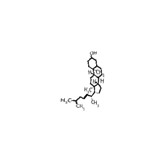 CC(C)CC=C[C@@H](C)[C@H]1CC[C@H]2[C@@H]3CCC4CC(O)CC[C@]4(C)[C@H]3CC[C@]12C